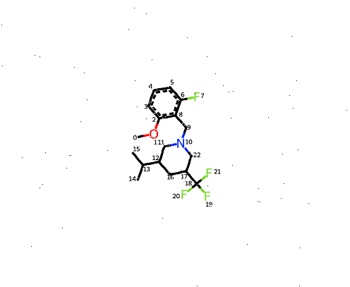 COc1cccc(F)c1CN1CC(C(C)C)CC(C(F)(F)F)C1